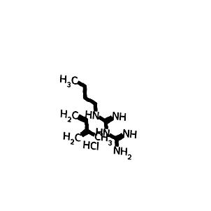 C=CC(=C)C.CCCCNC(=N)NC(=N)N.Cl